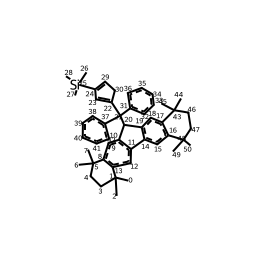 CC1(C)CCC(C)(C)c2cc3c(cc21)-c1cc2c(cc1C3C(C1=CC([Si](C)(C)C)=CC1)(c1ccccc1)c1ccccc1)C(C)(C)CCC2(C)C